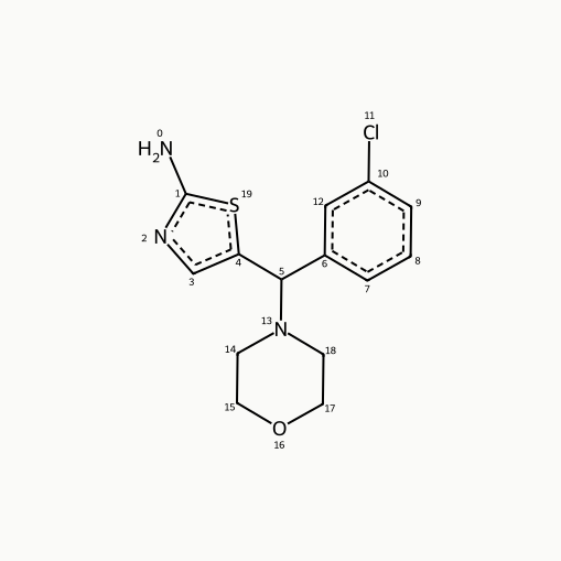 Nc1ncc(C(c2cccc(Cl)c2)N2CCOCC2)s1